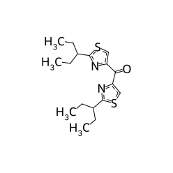 CCC(CC)c1nc(C(=O)c2csc(C(CC)CC)n2)cs1